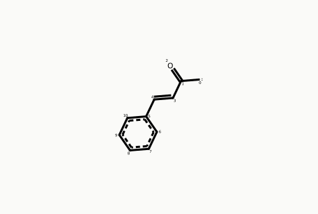 [CH]C(=O)C=Cc1ccccc1